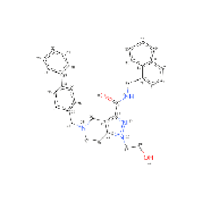 O=C(NCc1cccc2ccccc12)c1nn(CCO)c2c1CN(Cc1ccc(-c3ccccc3)cc1)CC2